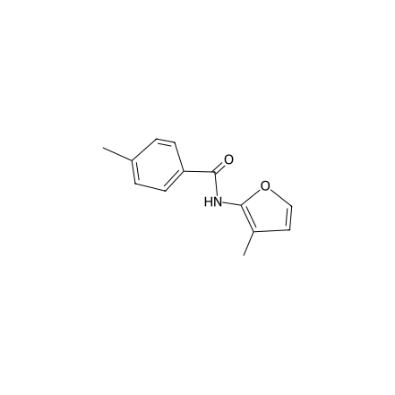 Cc1ccc(C(=O)Nc2occc2C)cc1